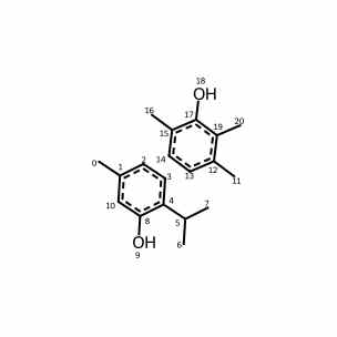 Cc1ccc(C(C)C)c(O)c1.Cc1ccc(C)c(O)c1C